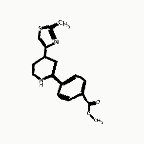 COC(=O)c1ccc(C2CC(c3csc(C)n3)CCN2)cc1